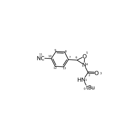 CC(C)(C)NC(=O)N1OC1c1ccc(C#N)cc1